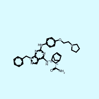 NC(=O)[C@H]1C2C=CC(C2)[C@H]1Nc1nc(Nc2ccc(OCCN3CCCC3)cc2)nc2c1cnn2Cc1ccccc1